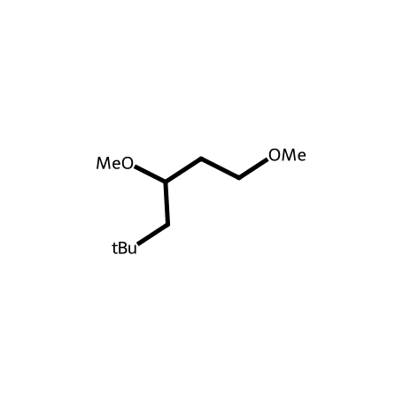 COCCC(CC(C)(C)C)OC